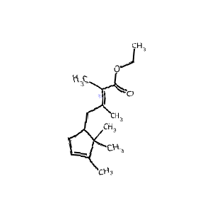 CCOC(=O)/C(C)=C(\C)CC1CC=C(C)C1(C)C